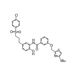 CC(C)(C)c1csc(COc2cccc(C(=O)Nc3cc(CCCS(=O)(=O)c4ccc(Cl)cc4)ccc3O)c2)n1